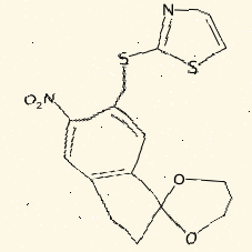 O=[N+]([O-])c1cc2c(cc1Sc1nccs1)C1(CC2)OCCO1